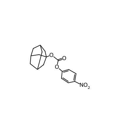 O=C(Oc1ccc([N+](=O)[O-])cc1)OC12CC3CC(CC(C3)C1)C2